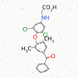 Cc1cc(C(=O)c2ccccc2)cc(C)c1Oc1c(Cl)cc(NCC(=O)O)cc1Cl